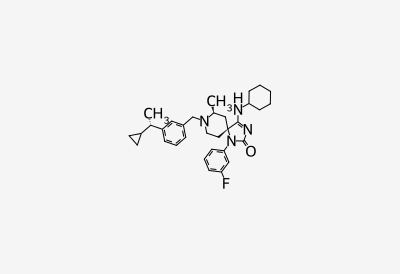 C[C@H](c1cccc(CN2CC[C@@]3(C[C@@H]2C)C(NC2CCCCC2)=NC(=O)N3c2cccc(F)c2)c1)C1CC1